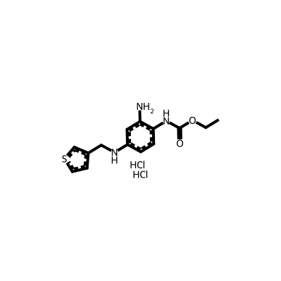 CCOC(=O)Nc1ccc(NCc2ccsc2)cc1N.Cl.Cl